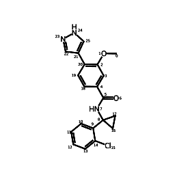 COc1cc(C(=O)NC2(c3ccccc3Cl)CC2)ccc1-c1cn[nH]c1